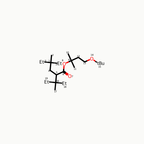 CCC(C)(CC)CC(C(=O)OC(C)(C)CCOC(C)(C)C)C(C)(CC)CC